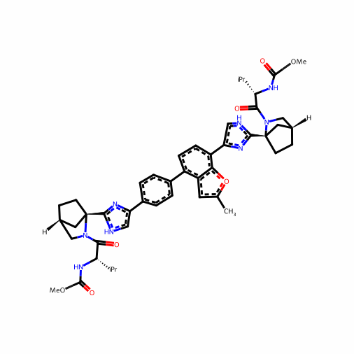 COC(=O)N[C@H](C(=O)N1C[C@@H]2CC[C@@]1(c1nc(-c3ccc(-c4ccc(-c5c[nH]c([C@@]67CC[C@@H](CN6C(=O)[C@@H](NC(=O)OC)C(C)C)C7)n5)c5oc(C)cc45)cc3)c[nH]1)C2)C(C)C